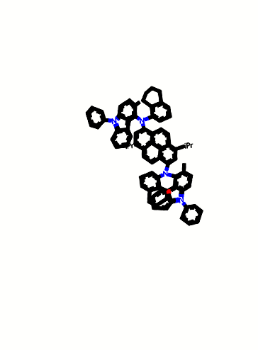 Cc1ccc2c(c1N(c1cccc3c1CCCC3)c1cc(C(C)C)c3ccc4c(N(c5cccc6c5CCCC6)c5c(C)ccc6c5c5ccccc5n6-c5ccccc5)cc(C(C)C)c5ccc1c3c54)c1ccccc1n2-c1ccccc1